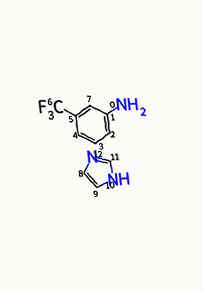 Nc1cccc(C(F)(F)F)c1.c1c[nH]cn1